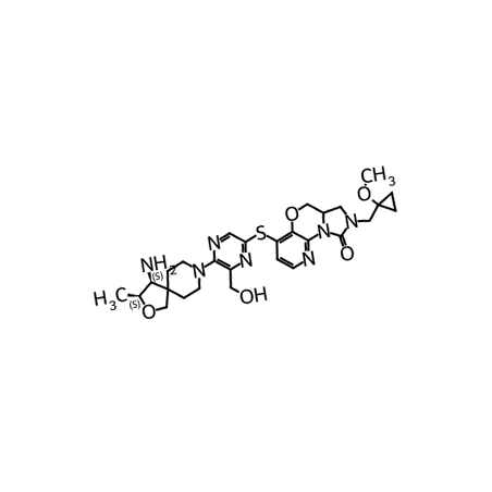 COC1(CN2CC3COc4c(Sc5cnc(N6CCC7(CC6)CO[C@@H](C)[C@H]7N)c(CO)n5)ccnc4N3C2=O)CC1